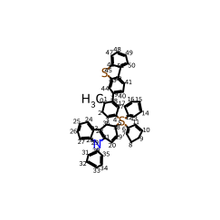 CC1CC=C(S(C2=CCCC=C2)(c2ccccc2)C2C=Cc3c(c4ccccc4n3-c3ccccc3)C2)C=C1c1ccc2c(c1)sc1ccccc12